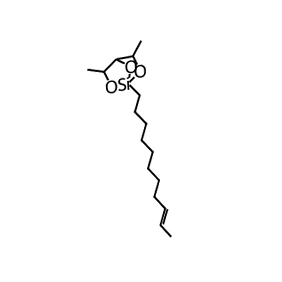 CC=CCCCCCCCC[Si]12OC(C)C(O1)C(C)O2